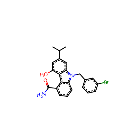 CC(C)c1cc(O)c2c3c(C(N)=O)cccc3n(Cc3cccc(Br)c3)c2c1